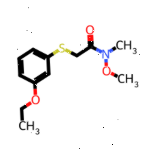 CCOc1cccc(SCC(=O)N(C)OC)c1